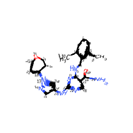 Cc1cccc(C)c1CNc1nc(Nc2cnn(C3CCOCC3)c2)ncc1C(N)=O